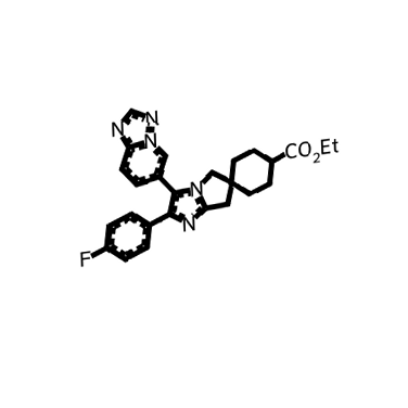 CCOC(=O)C1CCC2(CC1)Cc1nc(-c3ccc(F)cc3)c(-c3ccc4ncnn4c3)n1C2